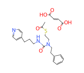 CC(=O)SCCN(CCc1ccccc1)C(=O)NCCCc1ccncc1.O=C(O)C=CC(=O)O